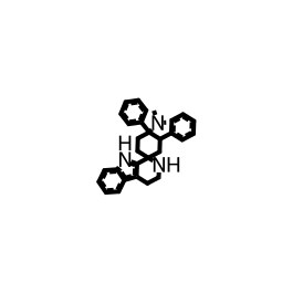 CN(C)C1(c2ccccc2)CCC2(CC1c1ccccc1)NCCc1c2[nH]c2ccccc12